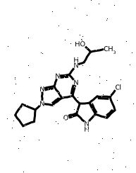 CC(O)CNc1nc(C2C(=O)Nc3ccc(Cl)cc32)c2cn(C3CCCC3)nc2n1